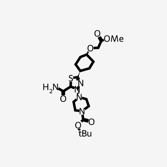 COC(=O)CO[C@H]1CC[C@H](C2=NN(N3CCN(C(=O)OC(C)(C)C)CC3)C(C(N)=O)S2)CC1